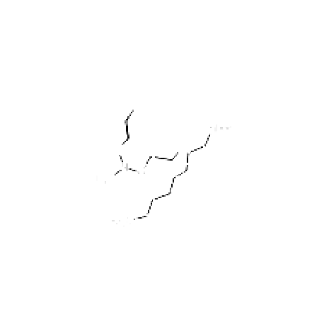 CCCCCCCCCCCCCCCCCC(=O)O.CN(OCCO)OCCO